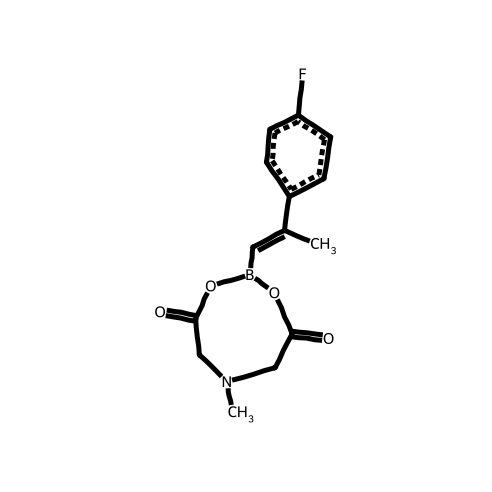 C/C(=C\B1OC(=O)CN(C)CC(=O)O1)c1ccc(F)cc1